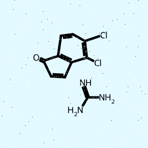 N=C(N)N.O=C1C=Cc2c1ccc(Cl)c2Cl